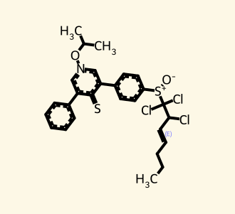 CCC/C=C/C(Cl)C(Cl)(Cl)[S+]([O-])c1ccc(-c2cn(OC(C)C)cc(-c3ccccc3)c2=S)cc1